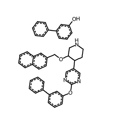 Oc1cccc(-c2ccccc2)c1.c1ccc(-c2cccc(Oc3ncc(C4CCNCC4OCc4ccc5ccccc5c4)cn3)c2)cc1